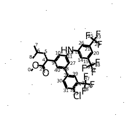 COC(=O)C(CC(C)C)c1cc(Nc2cc(C(F)(F)F)cc(C(F)(F)F)c2)cc(-c2ccc(Cl)c(C(F)(F)F)c2)c1